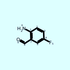 Nc1ccc(F)cc1[C]=O